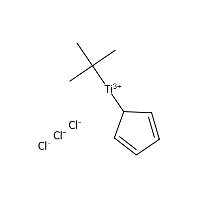 C[C](C)(C)[Ti+3][CH]1C=CC=C1.[Cl-].[Cl-].[Cl-]